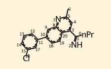 CCCC(=N)c1cc(C)nc2cc(-c3cccc(Cl)c3)ccc12